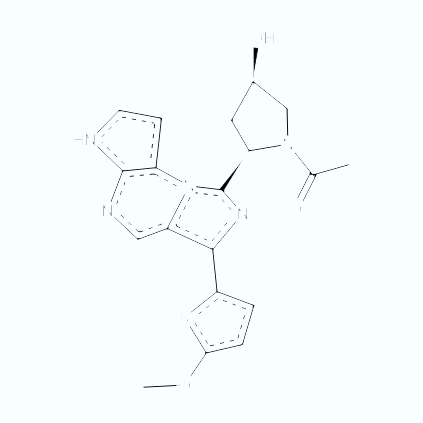 COc1ccc(-c2nc([C@H]3C[C@@H](O)CN3C(C)=O)n3c2cnc2[nH]ccc23)s1